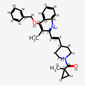 Cc1c(/C=C/C2CCN(C(=O)C3(C)CC3)CC2)nc2ccccc2c1OCc1ccccc1